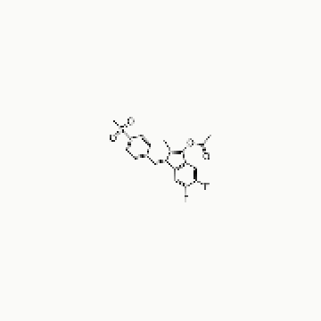 CC(=O)OC1=C(C)C(=Cc2ccc(S(C)(=O)=O)cc2)c2cc(F)c(F)cc21